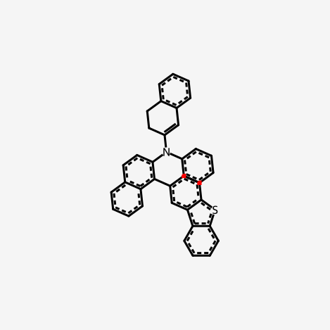 C1=C(N(c2ccccc2)c2ccc3ccccc3c2-c2ccc3sc4ccccc4c3c2)CCc2ccccc21